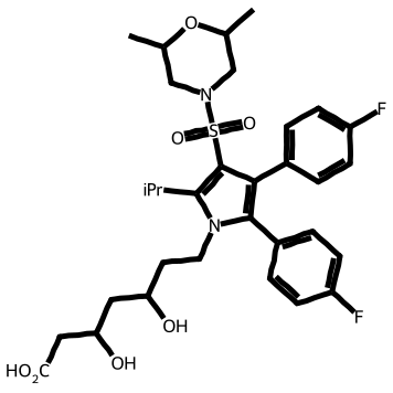 CC1CN(S(=O)(=O)c2c(-c3ccc(F)cc3)c(-c3ccc(F)cc3)n(CCC(O)CC(O)CC(=O)O)c2C(C)C)CC(C)O1